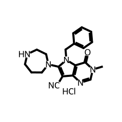 Cl.Cn1cnc2c(C#N)c(N3CCCNCC3)n(Cc3ccccc3)c2c1=O